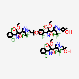 CCOC(=O)c1c(-c2c(F)cccc2Cl)noc1-c1cnn(C2CC(C)(O)C2)c1C(F)(F)F.CCOC(=O)c1c(-c2c(F)cccc2Cl)noc1-c1cnn(CC(C)(C)O)c1C(F)(F)F.CCOC(=O)c1c(-c2c(F)cccc2Cl)noc1-c1cnn(CCC(C)(C)O)c1C(F)(F)F